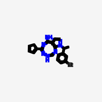 C=Cc1c(N)nc(C2=CC=CC2)n[nH]cnc1NC(C)c1cccc(CC)c1